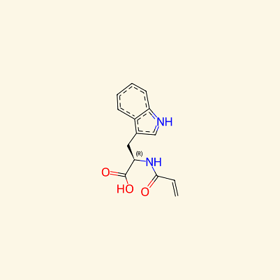 C=CC(=O)N[C@H](Cc1c[nH]c2ccccc12)C(=O)O